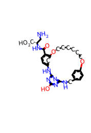 NC[C@H](NC(=O)c1ccc2cc1OCCCCCCOc1ccc(cc1)CNc1nc(O)nc(n1)N2)C(=O)O